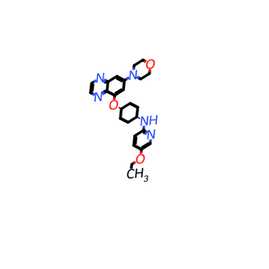 CCOc1ccc(N[C@H]2CC[C@@H](Oc3cc(N4CCOCC4)cc4nccnc34)CC2)nc1